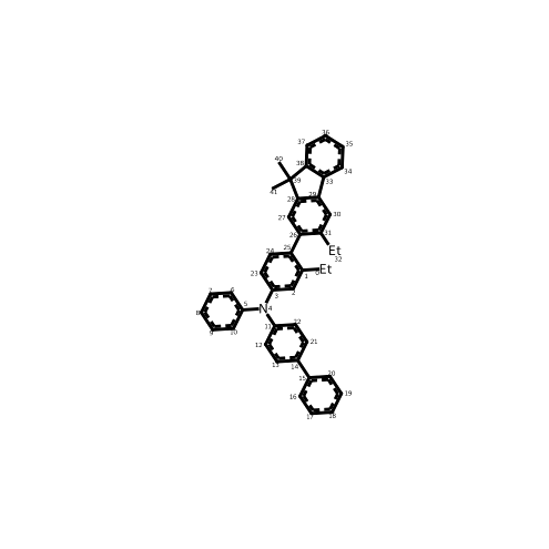 CCc1cc(N(c2ccccc2)c2ccc(-c3ccccc3)cc2)ccc1-c1cc2c(cc1CC)-c1ccccc1C2(C)C